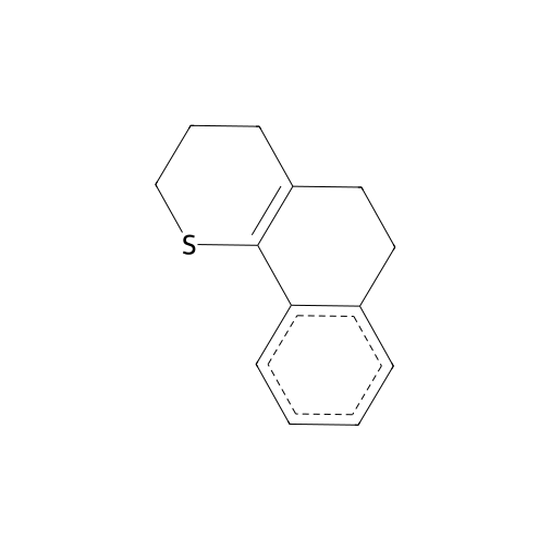 c1ccc2c(c1)CCC1=C2SCCC1